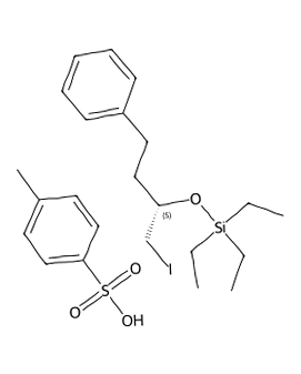 CC[Si](CC)(CC)O[C@H](CI)CCc1ccccc1.Cc1ccc(S(=O)(=O)O)cc1